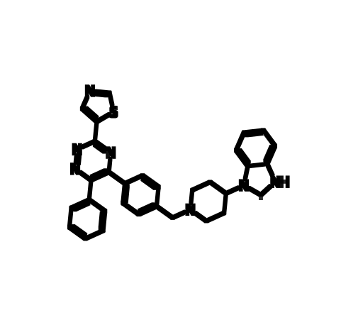 [CH]1Nc2ccccc2N1C1CCN(Cc2ccc(-c3nc(-c4cncs4)nnc3-c3ccccc3)cc2)CC1